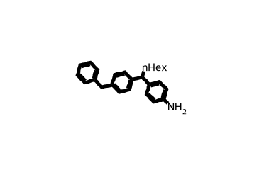 CCCCCCC(c1ccc(N)cc1)c1ccc(Cc2ccccc2)cc1